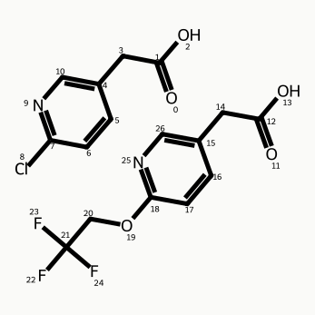 O=C(O)Cc1ccc(Cl)nc1.O=C(O)Cc1ccc(OCC(F)(F)F)nc1